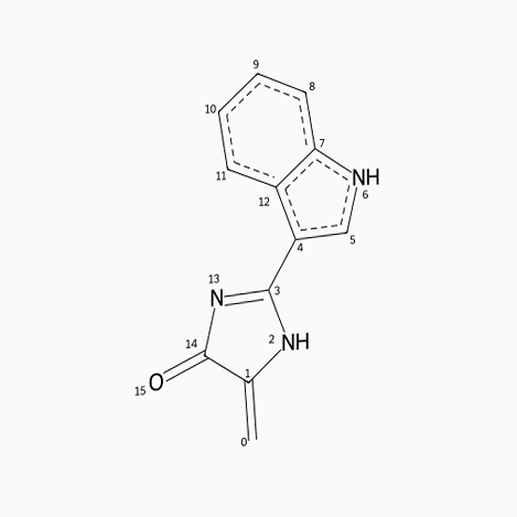 C=C1NC(c2c[nH]c3ccccc23)=NC1=O